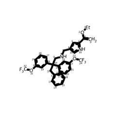 C=C(OCC)c1cc(CNCC(Cc2ccccc2)(c2cccc(OC(F)(F)F)c2)c2cccc(OC(F)(F)F)c2)c[nH]1